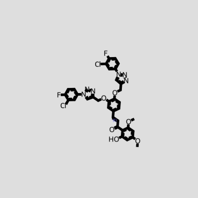 COc1cc(O)c(C(=O)/C=C/c2ccc(OCc3cn(-c4ccc(F)c(Cl)c4)nn3)c(OCc3cn(-c4ccc(F)c(Cl)c4)nn3)c2)c(OC)c1